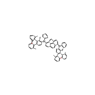 Cc1cccc(C)c1-c1ccc(N(c2ccccc2)c2ccc3ccc4c(N(c5ccccc5)c5ccc(-c6c(C)cccc6C)c(-c6c(C)cccc6C)c5F)ccc5ccc2c3c54)c(F)c1-c1c(C)cccc1C